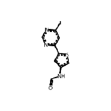 O=CNc1csc(-c2cc(I)ncn2)c1